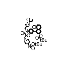 C=CC(=O)N1CC(CN2C(=O)C(CN3CCC(N(C)C(=O)OC(C)(C)C)CC3)Oc3cc(-c4cc(OC(=O)C(C)(C)C)cc5ccccc45)c(Cl)cc32)C1